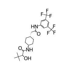 CC(C)(C)[C@H](O)C(=O)N[C@H]1CC[C@H](CC(=O)Nc2cc(C(F)(F)F)cc(C(F)(F)F)c2)CC1